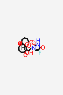 O=C1CCCC(=O)C2(O1)C(=O)CCCC(=O)[C@]1(O)C[C@H](n3cc(F)c(=O)[nH]c3=O)O[C@H]21